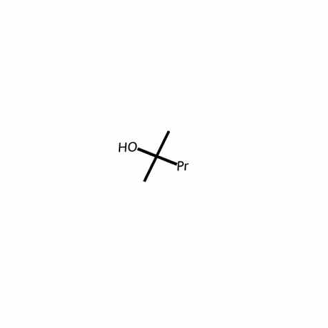 C[C](C)(O)[Pr]